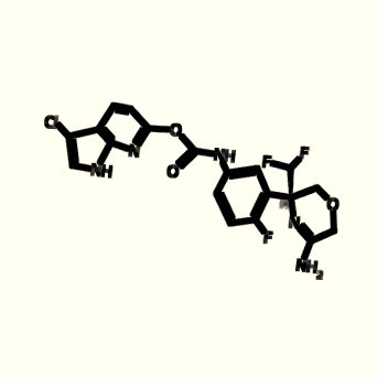 NC1=N[C@@](c2cc(NC(=O)Oc3ccc4c(Cl)c[nH]c4n3)ccc2F)(C(F)F)COC1